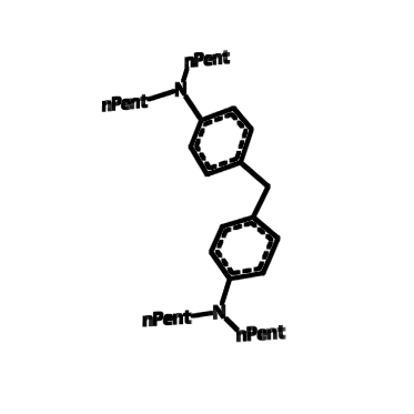 CCCCCN(CCCCC)c1ccc(Cc2ccc(N(CCCCC)CCCCC)cc2)cc1